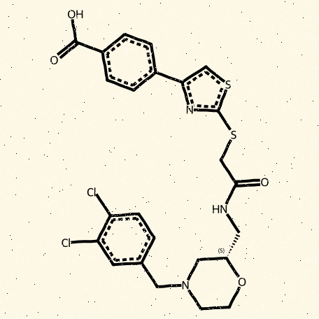 O=C(CSc1nc(-c2ccc(C(=O)O)cc2)cs1)NC[C@H]1CN(Cc2ccc(Cl)c(Cl)c2)CCO1